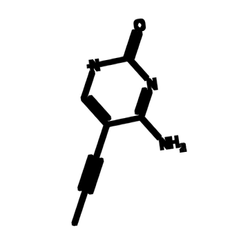 CC#CC1=C[N]C(=O)N=C1N